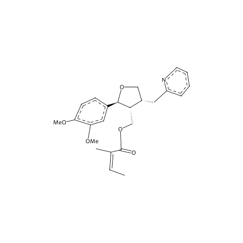 C/C=C(/C)C(=O)OC[C@H]1[C@@H](Cc2ccccn2)CO[C@@H]1c1ccc(OC)c(OC)c1